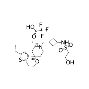 CCc1cc2c(s1)CCO[C@@]21CCN(CC2CC(NS(=O)(=O)CCO)C2)[C@@H](C)C1.O=C(O)C(F)(F)F